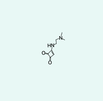 CN(C)CCNc1cc(=O)c1=O